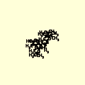 CC(C)[Si](OCC[C@@H](C)C[C@H](NC(=O)OC(C)(C)C)[C@@H](O)C[C@@H](C)C(=O)O)(C(C)C)C(C)C